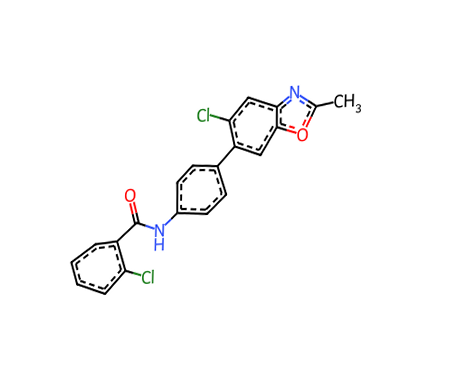 Cc1nc2cc(Cl)c(-c3ccc(NC(=O)c4ccccc4Cl)cc3)cc2o1